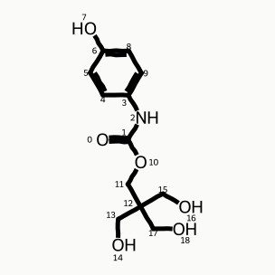 O=C(Nc1ccc(O)cc1)OCC(CO)(CO)CO